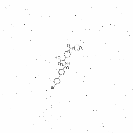 O=C(O)C(NS(=O)(=O)c1ccc(-c2ccc(Br)cc2)cc1)C1CCN(C(=O)N2CCOCC2)CC1